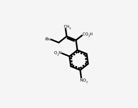 CCC(C)CC(C)=C(C(=O)O)c1ccc([N+](=O)[O-])cc1[N+](=O)[O-]